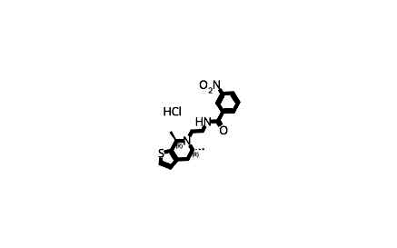 C[C@@H]1Cc2ccsc2[C@@H](C)N1CCNC(=O)c1cccc([N+](=O)[O-])c1.Cl